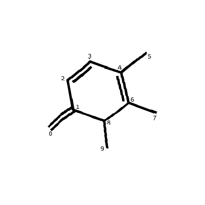 C=C1C=CC(C)=C(C)C1C